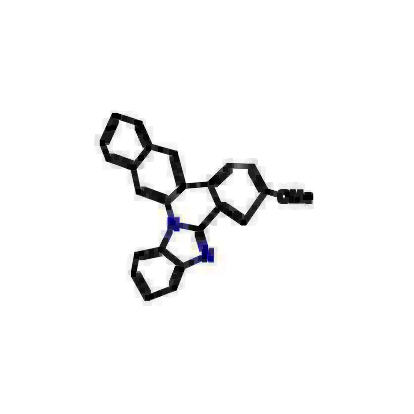 COc1ccc2c3cc4ccccc4cc3n3c4ccccc4nc3c2c1